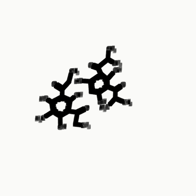 CC(C)C(=O)c1c(O)cc(O)c(C(=O)C(C)C)c1O.CCC(=O)c1c(O)c(C)c(O)c(C(=O)CC)c1O